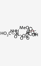 COc1ccc2c3c1O[C@H]1C(OC(=O)[C@H](C)OC(=O)CCNC(=O)CC[C@H](N)C(=O)O)=CC[C@@]4(O)[C@@H](C2)C(C)CC[C@]314